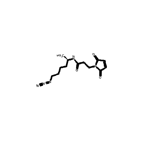 [N-]=[N+]=NCCCC[C@H](NC(=O)CCN1C(=O)C=CC1=O)C(=O)O